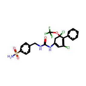 NS(=O)(=O)c1ccc(CNC(=O)NC2=CC(Cl)=C(c3ccccc3)C(Cl)(OC(F)(F)F)C2)cc1